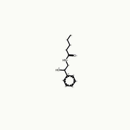 CCCCC(=O)NCC(O)c1ccccc1